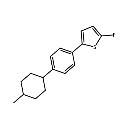 CC1CCC(c2ccc(-c3ccc(F)s3)cc2)CC1